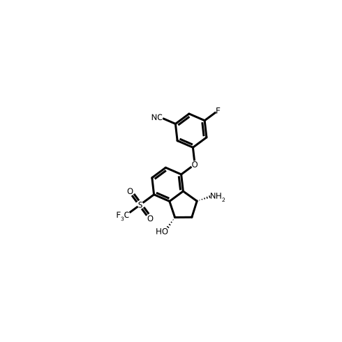 N#Cc1cc(F)cc(Oc2ccc(S(=O)(=O)C(F)(F)F)c3c2[C@H](N)C[C@@H]3O)c1